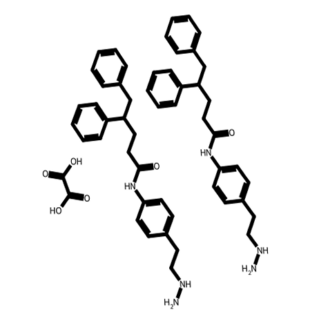 NNCCc1ccc(NC(=O)CCC(Cc2ccccc2)c2ccccc2)cc1.NNCCc1ccc(NC(=O)CCC(Cc2ccccc2)c2ccccc2)cc1.O=C(O)C(=O)O